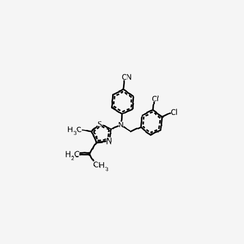 C=C(C)c1nc(N(Cc2ccc(Cl)c(Cl)c2)c2ccc(C#N)cc2)sc1C